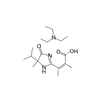 CC(C(=O)O)=C(C)C1=NC(=O)C(C)(C(C)C)N1.CCN(CC)CC